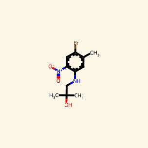 Cc1cc(NCC(C)(C)O)c([N+](=O)[O-])cc1Br